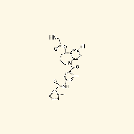 CNCC(=O)OC1CCCN(C(=O)c2ccc(NC(=O)c3ccccc3C)cc2C)c2ccc(Cl)cc21